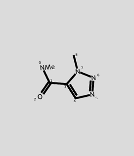 CNC(=O)c1cnnn1C